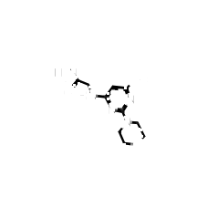 NC(=O)CNc1cc(C(=O)O)nc(N2CCOCC2)n1